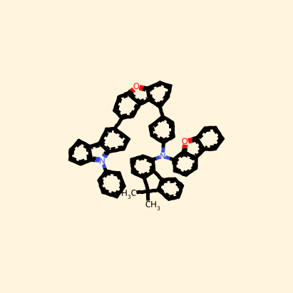 CC1(C)c2ccccc2-c2c(N(c3ccc(-c4cccc5oc6ccc(-c7ccc8c(c7)c7ccccc7n8-c7ccccc7)cc6c45)cc3)c3cccc4c3oc3ccccc34)cccc21